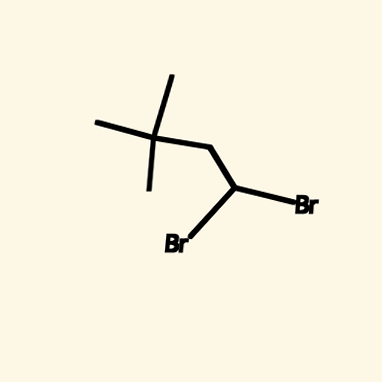 CC(C)(C)CC(Br)Br